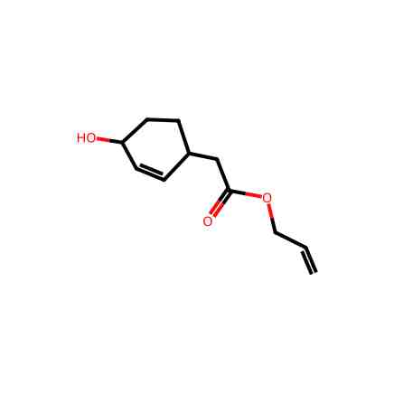 C=CCOC(=O)CC1C=CC(O)CC1